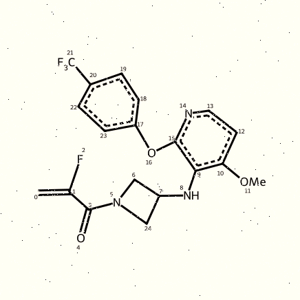 C=C(F)C(=O)N1CC(Nc2c(OC)ccnc2Oc2ccc(C(F)(F)F)cc2)C1